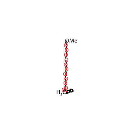 COCCOCCOCCOCCOCCOCCOCCOCCOCCOCCOC(=O)C1(C)CC2CC1C1C3C=CC(C3)C21